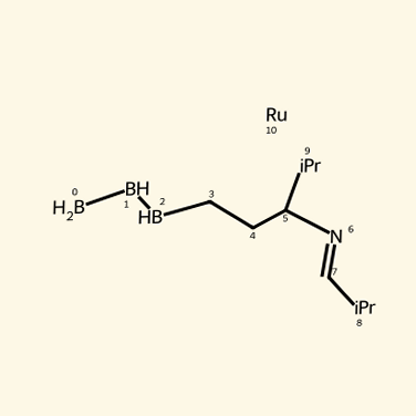 BBBCCC(N=CC(C)C)C(C)C.[Ru]